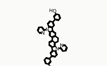 Oc1cccc(-c2ccc3c(c2)c2cc4c(cc2n3-c2ccccn2)-c2ccc3c5cc(-c6cccc(O)c6)ccc5n(-c5ccccn5)c3c2CC4)c1